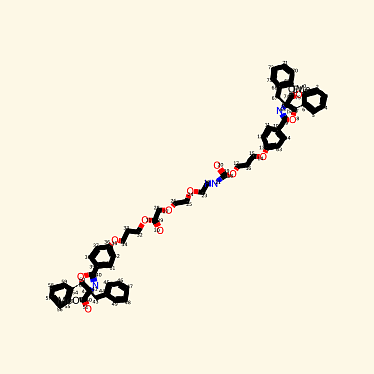 CCc1ccccc1[C@@H]1OC(c2ccc(OCCCOC(=O)NCCOCCOCC(=O)OCCCOc3ccc(C4=N[C@](Cc5ccccc5)(C(=O)OC)[C@H](c5ccccc5)O4)cc3)cc2)=N[C@]1(Cc1ccccc1)C(=O)OC